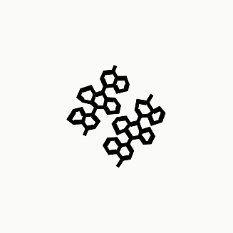 Cc1ccc(-c2c3ccccc3c(-c3ccc(C)c4ccccc34)c3ccccc23)c2ccccc12.Cc1ccc(-c2c3ccccc3c(-c3ccc(C)c4ccccc34)c3ccccc23)c2ccccc12